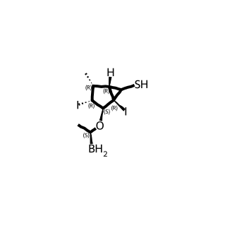 B[C@@H](C)O[C@H]1[C@H](I)[C@H](C)[C@@H]2C(S)[C@]12I